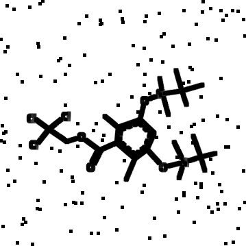 Cc1c(O[Si](C)(C)C(C)(C)C)cc(O[Si](C)(C)C(C)(C)C)c(C)c1C(=O)OCC(Cl)(Cl)Cl